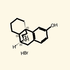 Br.Oc1ccc2c(c1)[C@]13CCCC[C@@H]1[C@H](C2)NCC3